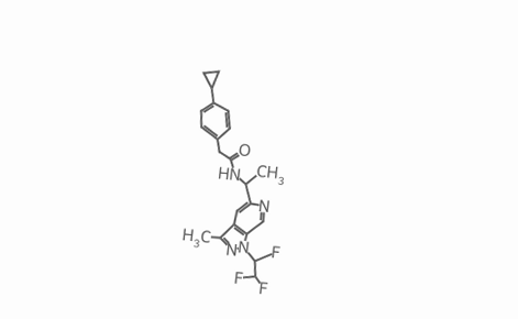 Cc1nn(C(F)C(F)F)c2cnc(C(C)NC(=O)Cc3ccc(C4CC4)cc3)cc12